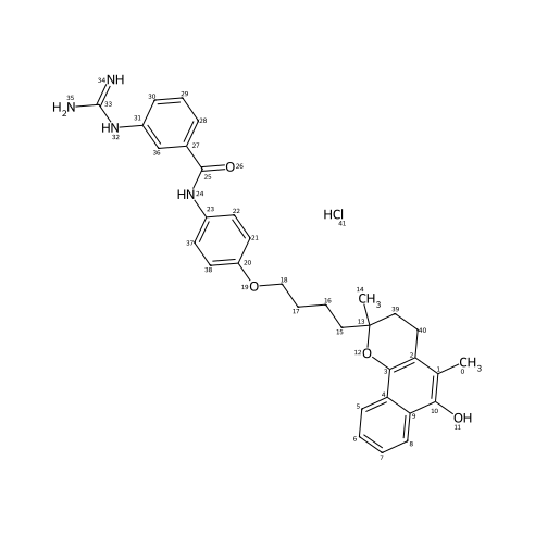 Cc1c2c(c3ccccc3c1O)OC(C)(CCCCOc1ccc(NC(=O)c3cccc(NC(=N)N)c3)cc1)CC2.Cl